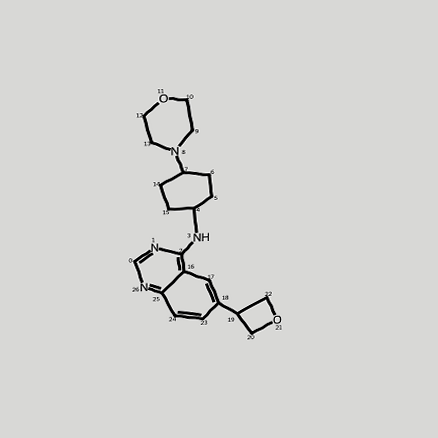 c1nc(NC2CCC(N3CCOCC3)CC2)c2cc(C3COC3)ccc2n1